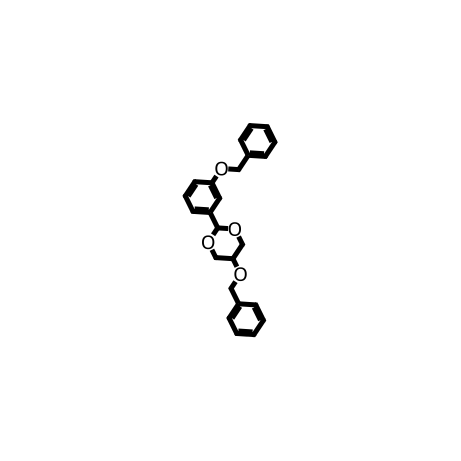 c1ccc(COc2cccc(C3OCC(OCc4ccccc4)CO3)c2)cc1